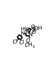 CCOCc1cc(Nc2ccc(Cl)c(Cl)c2)n2ncc(S(=O)(=O)O)c2n1